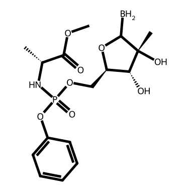 BC1O[C@H](COP(=O)(N[C@H](C)C(=O)OC)Oc2ccccc2)[C@@H](O)[C@@]1(C)O